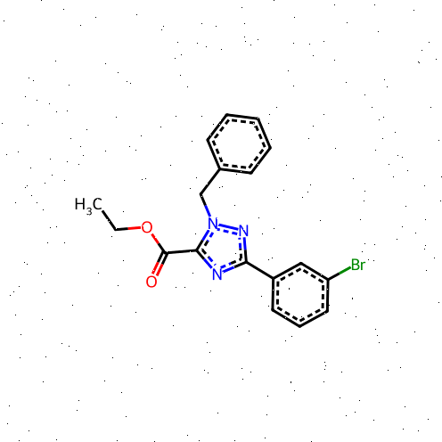 CCOC(=O)c1nc(-c2cccc(Br)c2)nn1Cc1ccccc1